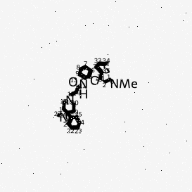 CNCC[C@@H](Oc1ccccc1NC(=O)CCN1CCC(c2ccccc2)(N(C)C)CC1)c1cccs1